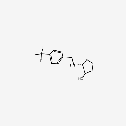 O[C@@H]1CCC[C@H]1NCc1ccc(C(F)(F)F)cn1